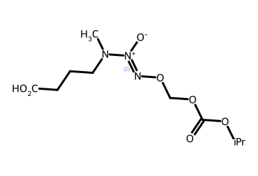 CC(C)OC(=O)OCO/N=[N+](\[O-])N(C)CCCC(=O)O